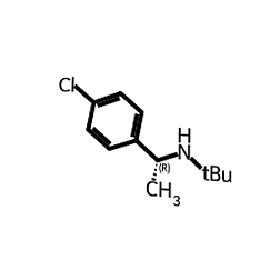 C[C@@H](NC(C)(C)C)c1ccc(Cl)cc1